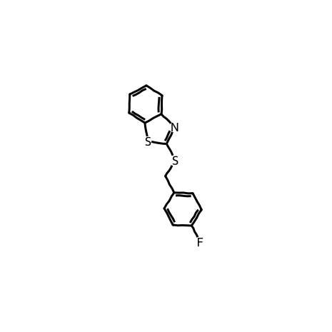 Fc1ccc(CSc2nc3ccccc3s2)cc1